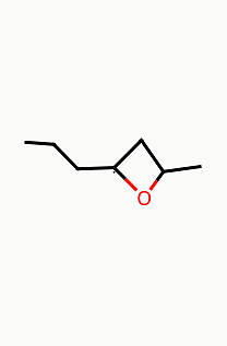 CCC[C]1CC(C)O1